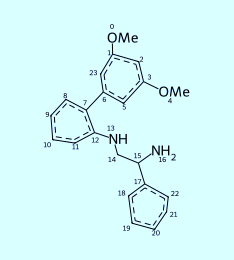 COc1cc(OC)cc(-c2ccccc2NCC(N)c2ccccc2)c1